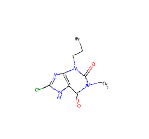 CC(C)CCn1c(=O)n(C)c(=O)c2[nH]c(Cl)nc21